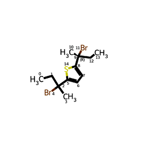 CCC(C)(Br)c1ccc([C@](C)(Br)CC)s1